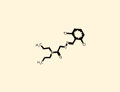 CCCN(CCC)C(=O)CON=Cc1c(Cl)cccc1Cl